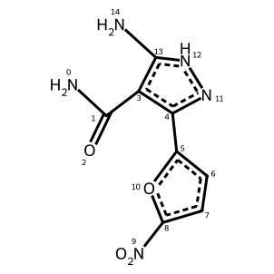 NC(=O)c1c(-c2ccc([N+](=O)[O-])o2)n[nH]c1N